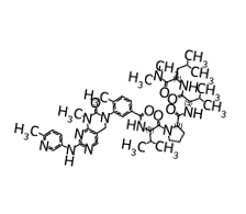 Cc1ccc(Nc2ncc3c(n2)N(C)C(=O)N(c2cc(C(=O)N[C@@H](C(=O)N4CCC[C@@H]4C(=O)N[C@H](C(=O)N[C@H](CC(C)C)C(=O)N(C)C)C(C)C)C(C)C)ccc2C)C3)cn1